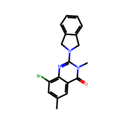 Cc1cc(Br)c2nc(N3Cc4ccccc4C3)n(C)c(=O)c2c1